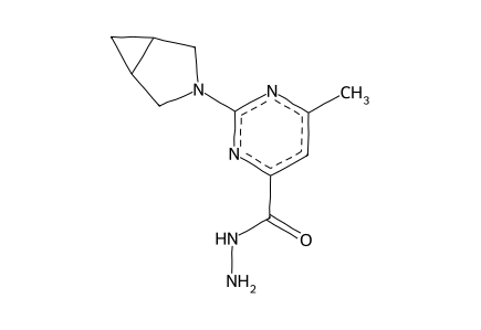 Cc1cc(C(=O)NN)nc(N2CC3CC3C2)n1